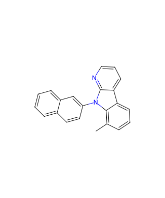 Cc1cccc2c3cccnc3n(-c3ccc4ccccc4c3)c12